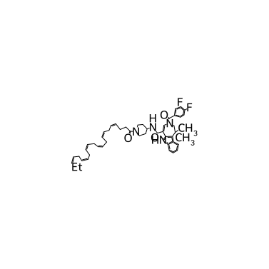 CC/C=C\C/C=C\C/C=C\C/C=C\C/C=C\C/C=C\CCC(=O)N1CCC(NC(=O)C2=CN(C(=O)c3ccc(F)c(F)c3)CC(C)(C)c3c2[nH]c2ccccc32)CC1